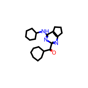 O=C(c1nc2c(c(NC3CCCCC3)n1)CCC2)C1CCCCCC1